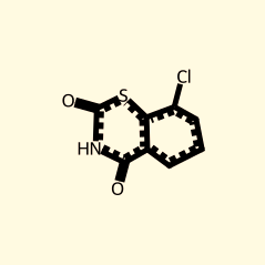 O=c1[nH]c(=O)c2cccc(Cl)c2s1